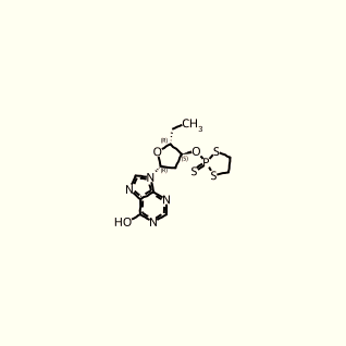 CC[C@H]1O[C@@H](n2cnc3c(O)ncnc32)C[C@@H]1OP1(=S)SCCS1